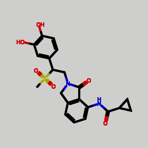 CS(=O)(=O)C(CN1Cc2cccc(NC(=O)C3CC3)c2C1=O)c1ccc(O)c(O)c1